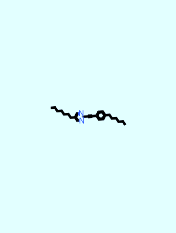 CCCCCCCc1cnc(C#Cc2ccc(CCCCCC)cc2)nc1